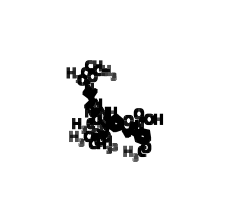 COc1ccc2c(c1)[C@]1(C[C@H]1c1ccc3c(Nc4nc(C5CN(C(=O)OC(C)(C)C)C5)cnc4OC)nn(C(=O)OC(C)(C)C)c3c1)C(=O)N2C(=O)O